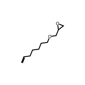 C=CCCCCCOCC1CO1